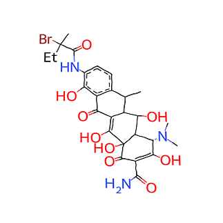 CCC(C)(Br)C(=O)Nc1ccc2c(c1O)C(=O)C1=C(O)C3(O)C(=O)C(C(N)=O)=C(O)[C@@H](N(C)C)C3C(O)C1C2C